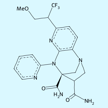 COCC(c1ccc2c(n1)N(c1ccccn1)[C@]1(C(N)=O)CN2CC1C(N)=O)C(F)(F)F